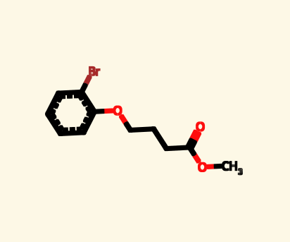 COC(=O)CCCOc1ccccc1Br